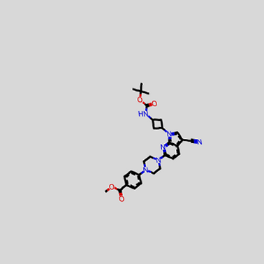 COC(=O)c1ccc(N2CCN(c3ccc4c(C#N)cn(C5CC(NC(=O)OC(C)(C)C)C5)c4n3)CC2)cc1